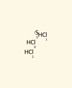 Cl.Cl.Cl.[S]